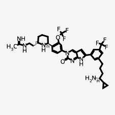 CC(=N)NCC[C@@H]1CCC[C@@H](c2ccc(-n3cc4cc(-c5cc(CCC[C@@H](N)C6CC6)cc(C(F)(F)F)c5)[nH]c4nc3=O)cc2OC(F)(F)F)N1